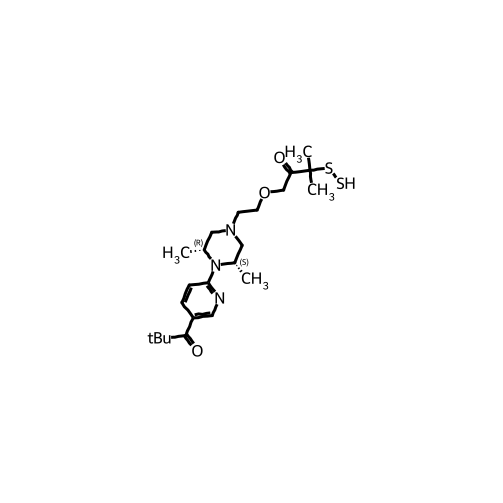 C[C@@H]1CN(CCOCC(=O)C(C)(C)SS)C[C@H](C)N1c1ccc(C(=O)C(C)(C)C)cn1